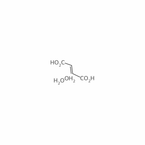 O.O.O=C(O)C=CC(=O)O